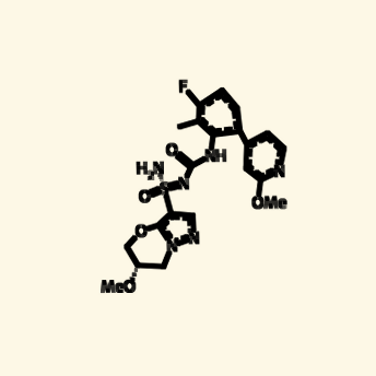 COc1cc(-c2ccc(F)c(C)c2NC(=O)N=[S@](N)(=O)c2cnn3c2OC[C@@H](OC)C3)ccn1